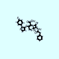 O=C(Cc1ccccc1)N[C@@H]1C(=O)N2C(C(=O)O)=C(Sc3ccnn3-c3ccc(F)cc3)CS[C@@H]12